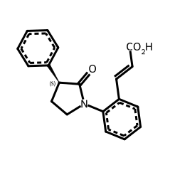 O=C(O)C=Cc1ccccc1N1CC[C@@H](c2ccccc2)C1=O